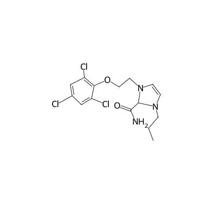 CCCN1C=CN(CCOc2c(Cl)cc(Cl)cc2Cl)C1C(N)=O